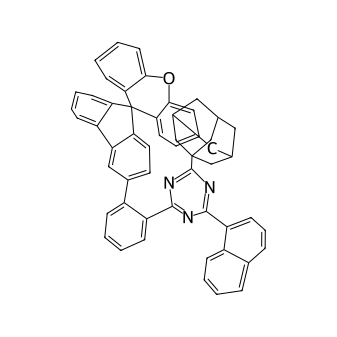 c1ccc2c(c1)Oc1ccccc1C21c2ccccc2-c2cc(-c3ccccc3-c3nc(-c4cccc5ccccc45)nc(C45CC6CC(CC(C6)C4)C5)n3)ccc21